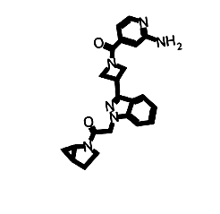 Nc1cc(C(=O)N2CC(c3nn(CC(=O)N4CCC5CC54)c4ccccc34)C2)ccn1